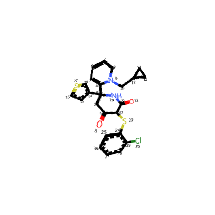 O=C1CC(C2=CC=CCN2CC2CC2)(c2ccsc2)NC(=O)C1Sc1ccccc1Cl